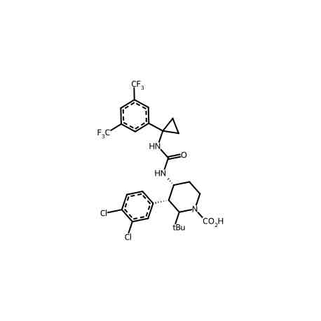 CC(C)(C)C1[C@H](c2ccc(Cl)c(Cl)c2)[C@H](NC(=O)NC2(c3cc(C(F)(F)F)cc(C(F)(F)F)c3)CC2)CCN1C(=O)O